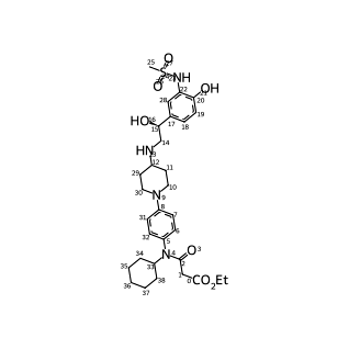 CCOC(=O)CC(=O)N(c1ccc(N2CCC(NC[C@@H](O)c3ccc(O)c(NS(C)(=O)=O)c3)CC2)cc1)C1CCCCC1